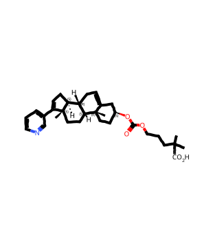 CC(C)(CCCOC(=O)O[C@H]1CC[C@@]2(C)C(=CC[C@@H]3[C@@H]2CC[C@]2(C)C(c4cccnc4)=CC[C@@H]32)C1)C(=O)O